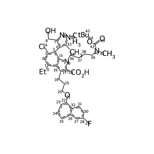 CCc1cc(Cl)c(-c2c(CO)nn(C)c2C)c2c1c(CCCOc1cccc3cc(F)ccc13)c(C(=O)O)n2CCCCN(C)C(=O)OC(C)(C)C